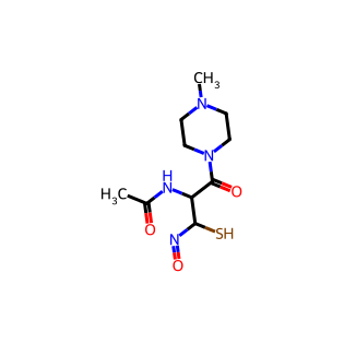 CC(=O)NC(C(=O)N1CCN(C)CC1)C(S)N=O